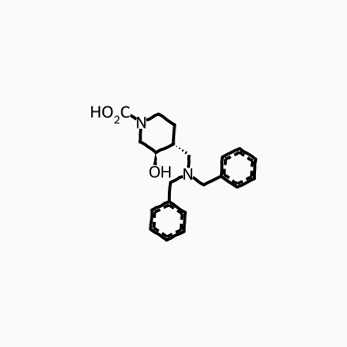 O=C(O)N1CC[C@H](CN(Cc2ccccc2)Cc2ccccc2)[C@@H](O)C1